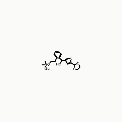 CC(C)(C)[Si](C)(C)OCCc1ccccc1C(O)c1csc(C2OCCO2)c1